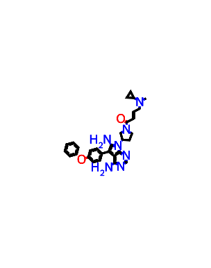 CN(C/C=C/C(=O)N1CCC(n2c(N)c(-c3ccc(Oc4ccccc4)cc3)c3c(N)ncnc32)C1)C1CC1